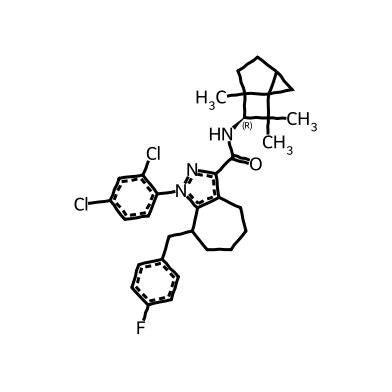 CC1(C)[C@@H](NC(=O)c2nn(-c3ccc(Cl)cc3Cl)c3c2CCCCC3Cc2ccc(F)cc2)C2(C)CCC3CC312